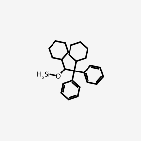 [SiH3]OC(C1CCCCC1)C(c1ccccc1)(c1ccccc1)C1CCCCC1